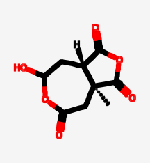 C[C@]12CC(=O)OC(O)C[C@@H]1C(=O)OC2=O